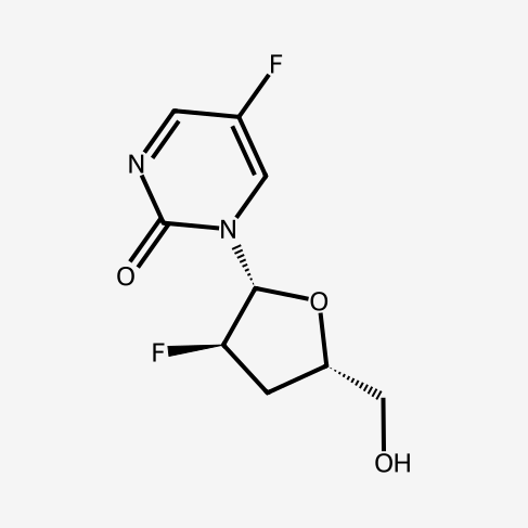 O=c1ncc(F)cn1[C@@H]1O[C@H](CO)C[C@H]1F